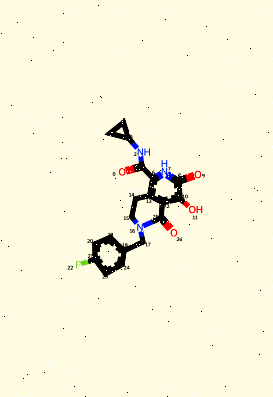 O=C(NC1CC1)c1[nH]c(=O)c(O)c2c1CCN(Cc1ccc(F)cc1)C2=O